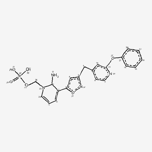 NC1C(c2cc(Cc3ccnc(Oc4ccccc4)c3)no2)=CC=CN1COP(=O)(O)O